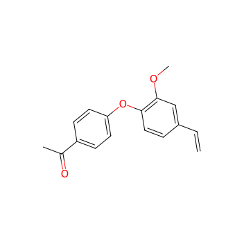 C=Cc1ccc(Oc2ccc(C(C)=O)cc2)c(OC)c1